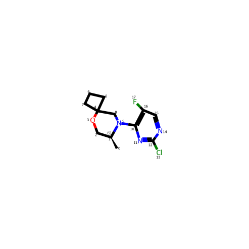 C[C@H]1COC2(CCC2)CN1c1nc(Cl)ncc1F